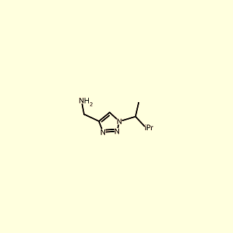 CC(C)C(C)n1cc(CN)nn1